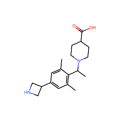 Cc1cc(C2CNC2)cc(C)c1C(C)N1CCC(C(=O)O)CC1